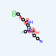 N#Cc1ccc(-c2ccc(C[C@H](NC(=O)[C@@H]3Cc4cc5c(cc4CN3C(=O)c3ccc(F)cc3)OC(c3ccc(OCc4ccc(Cl)c(Cl)c4)cc3)C(=O)N5)C(=O)O)cc2)cc1